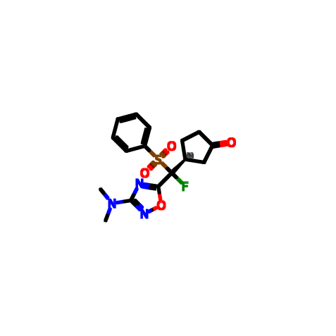 CN(C)c1noc(C(F)([C@H]2CCC(=O)C2)S(=O)(=O)c2ccccc2)n1